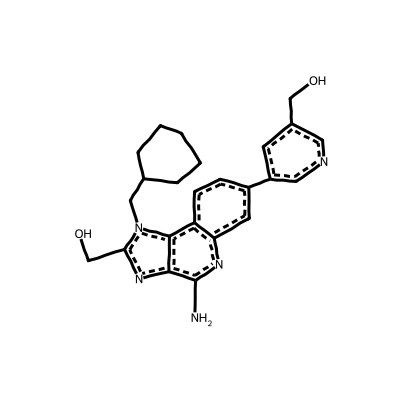 Nc1nc2cc(-c3cncc(CO)c3)ccc2c2c1nc(CO)n2CC1CCCCC1